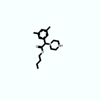 CCCCOC(=O)C(c1cc(C)cc(C)c1)N1CCNCC1